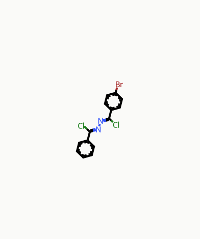 ClC(=NN=C(Cl)c1ccc(Br)cc1)c1ccccc1